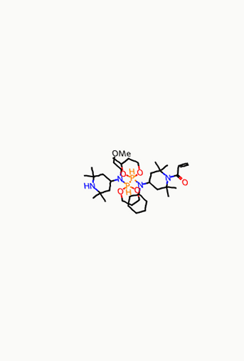 C=CC(=O)N1C(C)(C)CC(N(C2CCCCC2)[PH]2([PH]3(N(CCOC)C4CC(C)(C)NC(C)(C)C4)OCCCO3)OCCC(C)O2)CC1(C)C